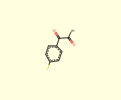 CC(C)C(=O)C(=O)c1ccc(F)cc1